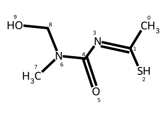 CC(S)=NC(=O)N(C)CO